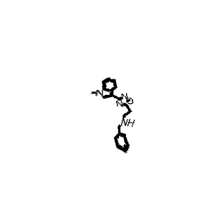 Cn1cc(-c2noc(CCNCc3ccccc3)n2)c2ccccc21